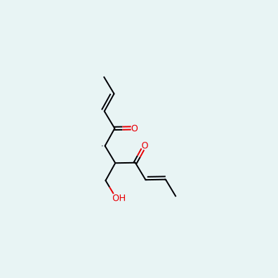 CC=CC(=O)[CH]C(CO)C(=O)C=CC